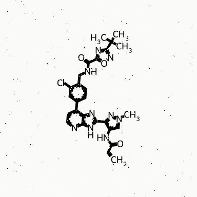 C=CC(=O)Nc1cn(C)nc1-c1nc2c(-c3ccc(CNC(=O)c4nc(C(C)(C)C)no4)c(Cl)c3)ccnc2[nH]1